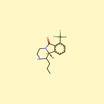 CCCC1NCCN2C(=O)c3c(cccc3C(F)(F)F)[C@H]12